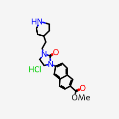 COC(=O)c1ccc2cc(N3CCN(CCC4CCNCC4)C3=O)ccc2c1.Cl